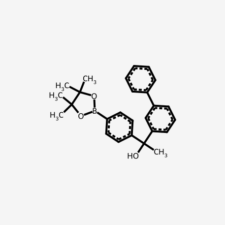 CC(O)(c1ccc(B2OC(C)(C)C(C)(C)O2)cc1)c1cccc(-c2ccccc2)c1